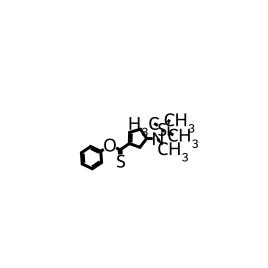 CN(C1CC=C(C(=S)Oc2ccccc2)C1)[Si](C)(C)C